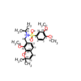 COc1ccc(S(=O)(=O)N(Cc2ccc3c(c2OC)OC(C)(C)C=C3)C(C)C)cc1OC